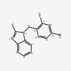 Cc1nc2ccccc2n1Cc1ncc(Br)cc1F